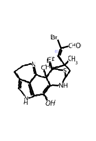 CCC12SC(CC1(C)/C=C(/Br)C=O)NC1=C(O)c3[nH]cc4c3C(=NCC4)C12C